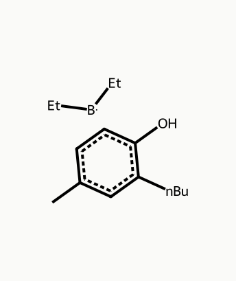 CCCCc1cc(C)ccc1O.CC[B]CC